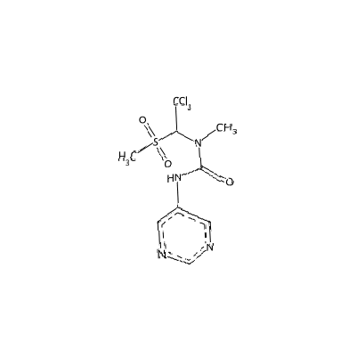 CN(C(=O)Nc1cncnc1)C(C(Cl)(Cl)Cl)S(C)(=O)=O